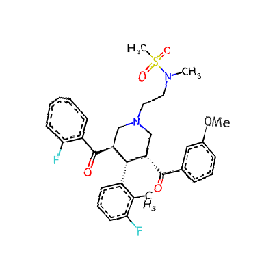 COc1cccc(C(=O)[C@H]2CN(CCN(C)S(C)(=O)=O)C[C@H](C(=O)c3ccccc3F)[C@H]2c2cccc(F)c2C)c1